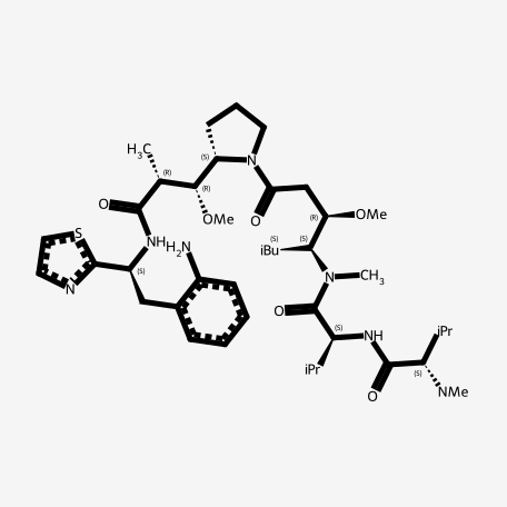 CC[C@H](C)[C@@H]([C@@H](CC(=O)N1CCC[C@H]1[C@H](OC)[C@@H](C)C(=O)N[C@@H](Cc1ccccc1N)c1nccs1)OC)N(C)C(=O)[C@@H](NC(=O)[C@@H](NC)C(C)C)C(C)C